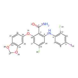 NC(=O)c1c(Nc2ccc(I)cc2F)cc(F)cc1Oc1ccc2c(c1)OCO2